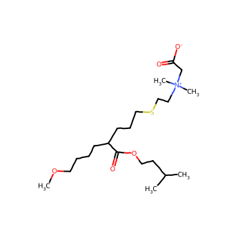 COCCCCC(CCCSCC[N+](C)(C)CC(=O)[O-])C(=O)OCCC(C)C